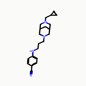 N#Cc1ccc(NCCCN2CC3CC(C2)CN(CC2CC2)C3)cc1